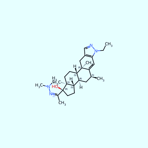 CCn1ncc2c1C=C1[C@@H](C)C[C@@H]3[C@H](CC[C@@]4(C)[C@H]3CC[C@]4(O)/C(C)=N\N(C)C)[C@@]1(C)C2